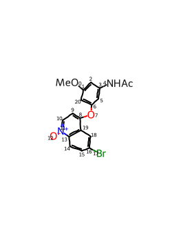 COc1cc(NC(C)=O)cc(Oc2cc[n+]([O-])c3ccc(Br)cc23)c1